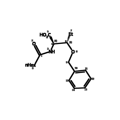 CCCCCCC(=O)N[C@@H](C(=O)O)[C@H](CC)OCc1ccccc1